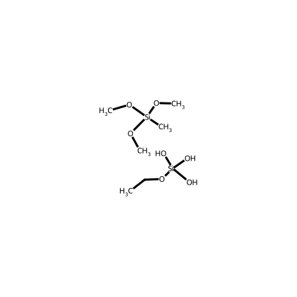 CCO[Si](O)(O)O.CO[Si](C)(OC)OC